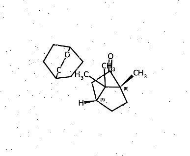 C1CC2CCC1CO2.CC1(C)[C@@H]2CC[C@@]1(C)C(=O)C2